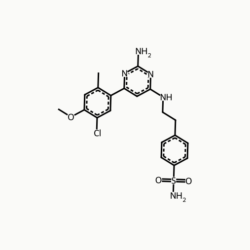 COc1cc(C)c(-c2cc(NCCc3ccc(S(N)(=O)=O)cc3)nc(N)n2)cc1Cl